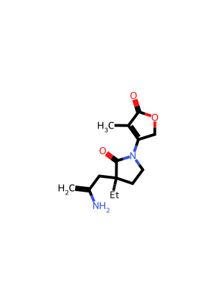 C=C(N)CC1(CC)CCN(C2=C(C)C(=O)OC2)C1=O